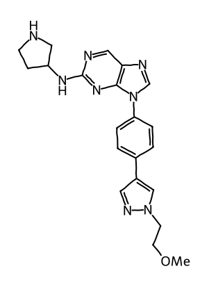 COCCn1cc(-c2ccc(-n3cnc4cnc(NC5CCNC5)nc43)cc2)cn1